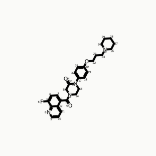 O=C(c1ccc(F)c2ncccc12)N1CCN(c2ccc(OCCCN3CCCCC3)cc2)C(=O)C1